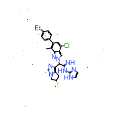 CCc1ccc(-c2cc(Cl)c3cn(C(C(=N)Nc4ncc[nH]4)c4ncn5c4C[C@@H](F)C5)nc3c2C)cc1